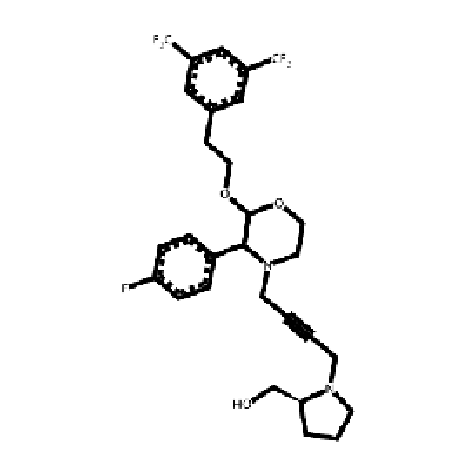 OC[C@@H]1CCCN1CC#CCN1CCOC(OCCc2cc(C(F)(F)F)cc(C(F)(F)F)c2)C1c1ccc(F)cc1